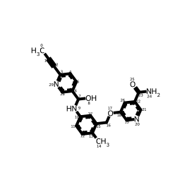 CC#Cc1ccc(C(O)Nc2ccc(C)c(COc3cncc(C(N)=O)c3)c2)cn1